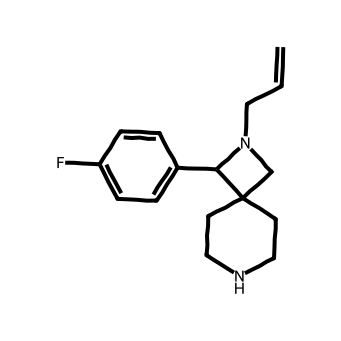 C=CCN1CC2(CCNCC2)C1c1ccc(F)cc1